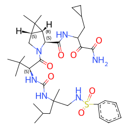 CC(C)CC(C)(CNS(=O)(=O)c1ccccc1)NC(=O)N[C@H](C(=O)N1C[C@H]2[C@@H]([C@H]1C(=O)NC(CC1CC1)C(=O)C(N)=O)C2(C)C)C(C)(C)C